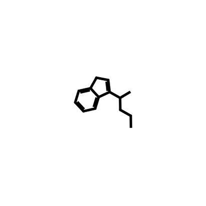 CCCC(C)C1=CCc2ccccc21